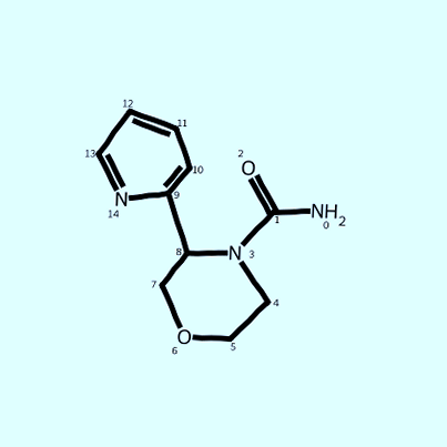 NC(=O)N1CCOCC1c1ccccn1